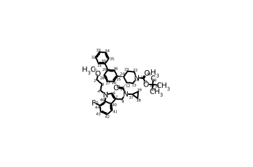 COCCCn1cc(CN(C(=O)[C@H]2CN(C(=O)OC(C)(C)C)CC[C@@H]2c2cccc(-c3ccccc3)c2)C2CC2)c2cccc(F)c21